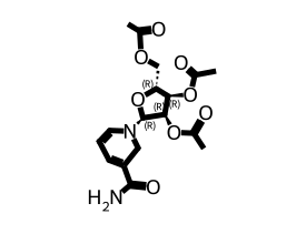 CC(=O)OC[C@H]1O[C@@H](N2C=CC=C(C(N)=O)C2)[C@H](OC(C)=O)[C@@H]1OC(C)=O